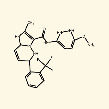 COC1=CC=C(NC(=O)C2=C(C)NC3C=CC(c4ccccc4C(F)(F)F)NN23)NN1